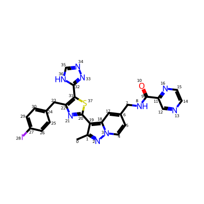 Cc1nn2ccc(CNC(=O)c3cnccn3)cc2c1-c1nc(Cc2ccc(I)cc2)c(-c2nnc[nH]2)s1